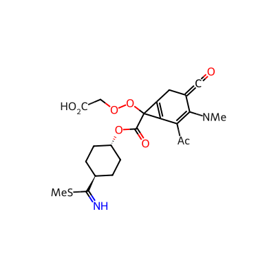 CNC1=C(C(C)=O)C2=C(CC1=C=O)C2(OOCC(=O)O)C(=O)O[C@H]1CC[C@H](C(=N)SC)CC1